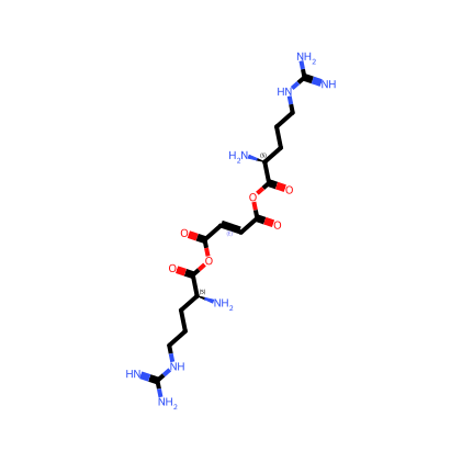 N=C(N)NCCC[C@H](N)C(=O)OC(=O)/C=C/C(=O)OC(=O)[C@@H](N)CCCNC(=N)N